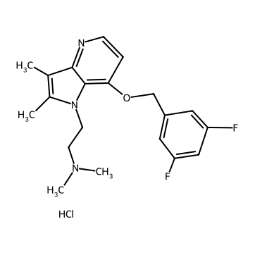 Cc1c(C)n(CCN(C)C)c2c(OCc3cc(F)cc(F)c3)ccnc12.Cl